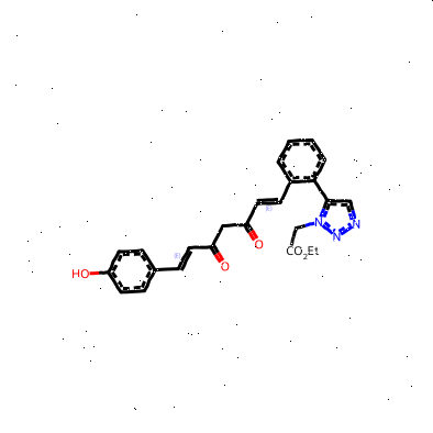 CCOC(=O)Cn1nncc1-c1ccccc1/C=C/C(=O)CC(=O)/C=C/c1ccc(O)cc1